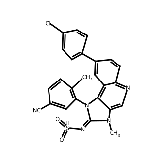 Cc1ccc(C#N)cc1-n1/c(=N\[SH](=O)=O)n(C)c2cnc3ccc(-c4ccc(Cl)cc4)cc3c21